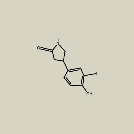 O=C1CC(c2ccc(O)c(I)c2)CN1